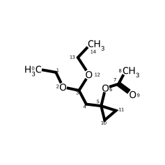 CCOC(CC1(OC(C)=O)CC1)OCC